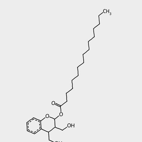 CCCCCCCCCCCCCCCC(=O)OC1Oc2ccccc2C(CO)C1CO